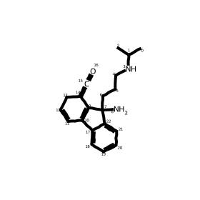 CC(C)NCCCC1(N)C2=C(C=CCC2=C=O)c2ccccc21